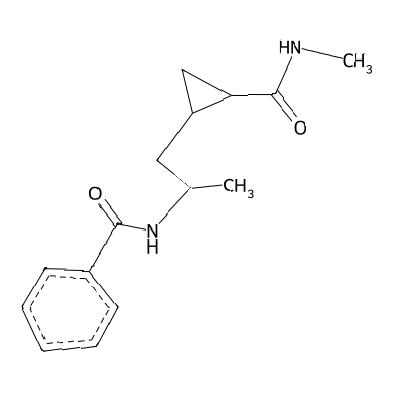 CNC(=O)C1CC1CC(C)NC(=O)c1ccccc1